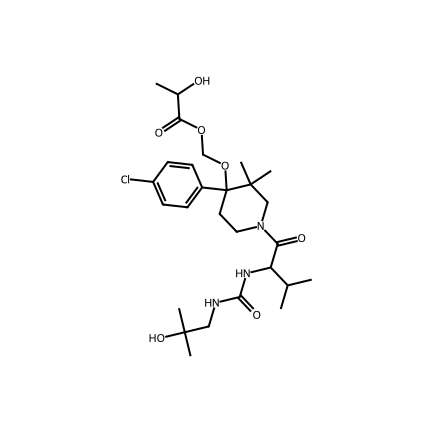 CC(O)C(=O)OCOC1(c2ccc(Cl)cc2)CCN(C(=O)C(NC(=O)NCC(C)(C)O)C(C)C)CC1(C)C